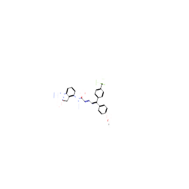 CCOc1ccc(/C(=C/C=C/C(=O)Nc2cccc3c2CC(=O)N3)c2ccc(C(F)(F)F)cc2)cc1